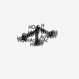 CC(=O)NC1C(OCCOCCOCC(=O)NCCCCC(NC(=O)C(CCCCNC(=O)COCCOCCOC2OC(CO)C(O)C(O)C2NC(C)=O)NC(=O)COCCOCCOC2OC(CO)C(O)C(O)C2NC(C)=O)C(=O)O)OC(CO)C(O)C1O